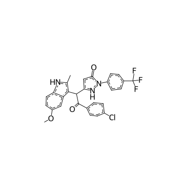 COc1ccc2[nH]c(C)c(C(C(=O)c3ccc(Cl)cc3)c3cc(=O)n(-c4ccc(C(F)(F)F)cc4)[nH]3)c2c1